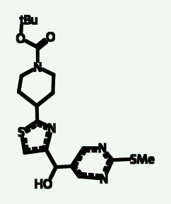 CSc1ncc(C(O)c2csc(C3CCN(C(=O)OC(C)(C)C)CC3)n2)cn1